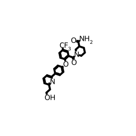 NC(=O)C1CCCN(C(=O)c2cc(C(F)(F)F)ccc2Oc2ccc(-c3cccc(CCO)n3)cc2)C1